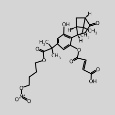 CC(C)(C(=O)OCCCCO[N+](=O)[O-])c1cc(O)c([C@H]2CC(=O)[C@H]3C[C@@H]2C3(C)C)c(OC(=O)C=CC(=O)O)c1